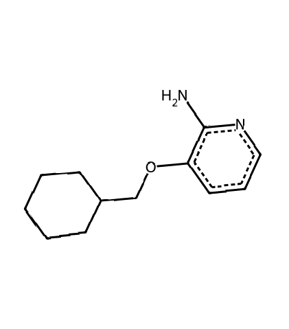 Nc1ncccc1OCC1CCCCC1